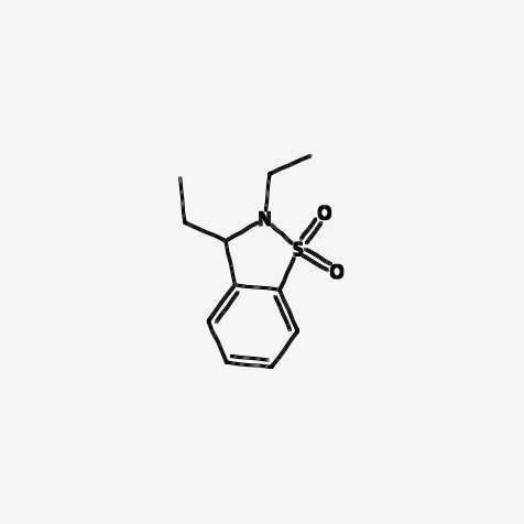 CCC1c2ccccc2S(=O)(=O)N1CC